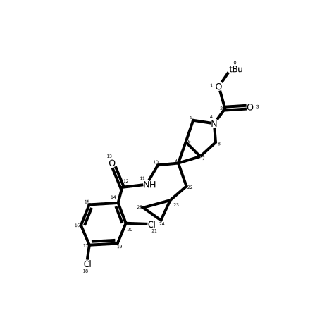 CC(C)(C)OC(=O)N1CC2C(C1)C2(CNC(=O)c1ccc(Cl)cc1Cl)CC1CC1